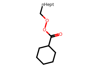 CCCCCCCCOOC(=O)[C]1CCCCC1